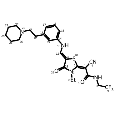 CCn1c(=C(C#N)C(=O)NCC(F)(F)F)sc(=CNc2cccc(CCN3CCCCC3)c2)c1=O